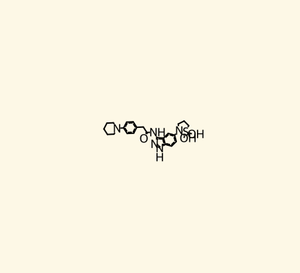 O=C(Cc1ccc(N2CCCCC2)cc1)Nc1n[nH]c2ccc(N3CCCS3(O)O)cc12